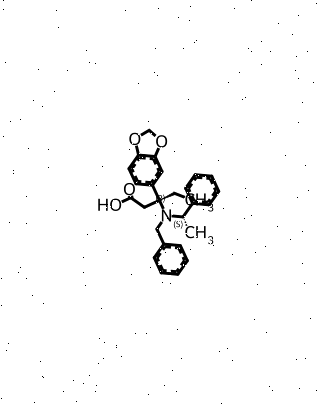 CC[C@@](CC(=O)O)(c1ccc2c(c1)OCO2)N(Cc1ccccc1)[C@@H](C)c1ccccc1